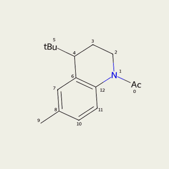 CC(=O)N1CCC(C(C)(C)C)c2cc(C)ccc21